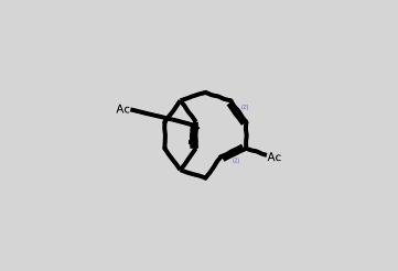 CC(=O)C1=C\CC2CCC(C/C=C\1)c1cc(C(C)=O)ccc12